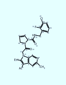 CCc1c(C(C)=O)c2cc(C)ncc2n1CC(=O)N1CC=C[C@H]1C(=O)NCc1cccc(Cl)c1F